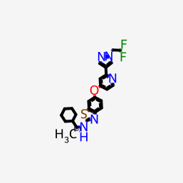 C[C@H](Nc1nc2ccc(Oc3ccnc(-c4cnn(CC(F)F)c4)c3)cc2s1)C1CCCCC1